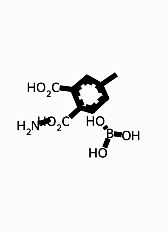 CN.Cc1ccc(C(=O)O)c(C(=O)O)c1.OB(O)O